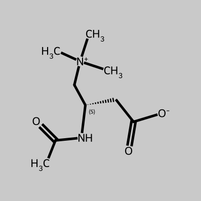 CC(=O)N[C@@H](CC(=O)[O-])C[N+](C)(C)C